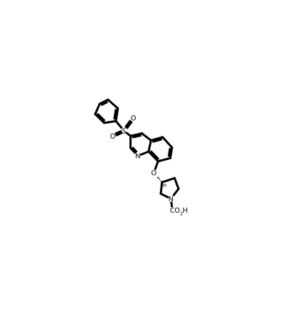 O=C(O)N1CC[C@@H](Oc2cccc3cc(S(=O)(=O)c4ccccc4)cnc23)C1